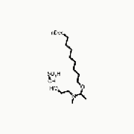 CCCCCCCCCCCCCCCCCCOC(C)N(C)CCO.O=S(=O)(O)O